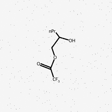 CCCC(O)COC(=O)C(F)(F)F